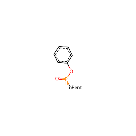 CCCCC[PH](=O)Oc1ccccc1